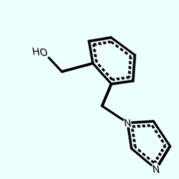 OCc1ccccc1Cn1ccnc1